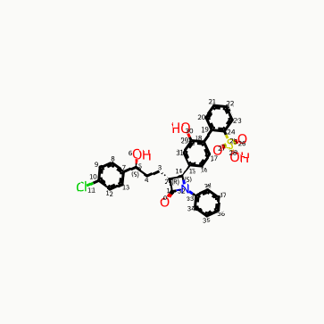 O=C1[C@H](CC[C@H](O)c2ccc(Cl)cc2)[C@@H](c2ccc(-c3ccccc3S(=O)(=O)O)c(O)c2)N1c1ccccc1